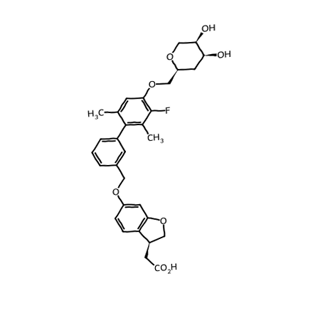 Cc1cc(OC[C@@H]2C[C@H](O)[C@H](O)CO2)c(F)c(C)c1-c1cccc(COc2ccc3c(c2)OC[C@H]3CC(=O)O)c1